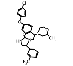 C[C@H]1CN(C(CN2C(=O)NCC2c2cccc(C(F)(F)F)c2)c2ccc(Oc3ccc(Cl)cc3)cc2)CCO1